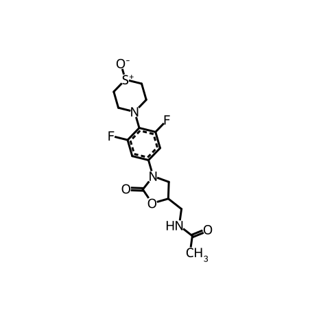 CC(=O)NCC1CN(c2cc(F)c(N3CC[S+]([O-])CC3)c(F)c2)C(=O)O1